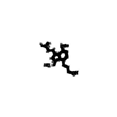 COc1ccc(CCCO)c2c1c(CCN(C)C)cn2C.Cl